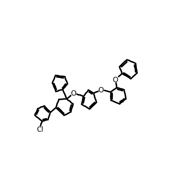 Clc1cccc(C2=CC=CC(Oc3cccc(Oc4ccccc4Oc4ccccc4)c3)(c3ccccc3)C2)c1